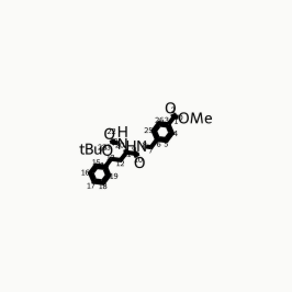 COC(=O)c1ccc(CNC(=O)C(CCc2ccccc2)NC(=O)OC(C)(C)C)cc1